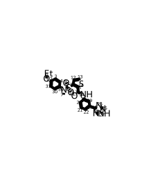 CCOc1ccc(N(C)S(=O)(=O)c2ccsc2C(=O)Nc2cccc(-c3nn[nH]n3)c2)cc1